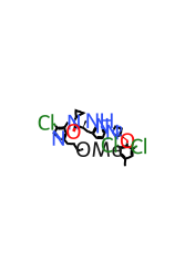 COCCCc1cc(CN(C(=O)[C@@H](CN)Cc2ccc(N3CC[C@@H](Oc4c(Cl)cc(C)cc4Cl)C3)nc2)C2CC2)c(Cl)cn1